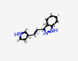 C(=C\c1n[nH]c2ccccc12)/c1cc[nH]c1